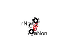 C=C.CCCCCCCCCc1ccccc1OOOc1ccccc1CCCCCCCCC